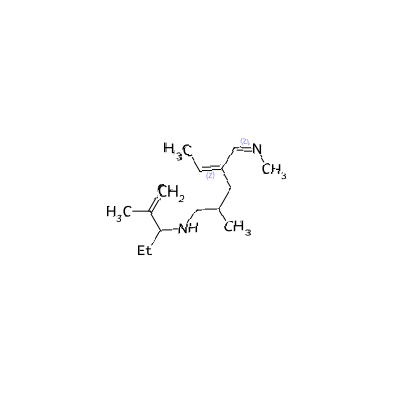 C=C(C)C(CC)NCC(C)CC(/C=N\C)=C/C